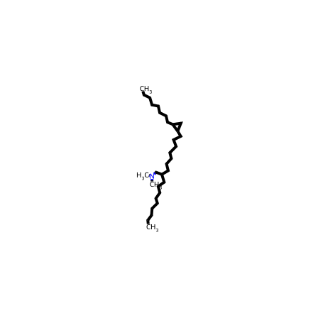 CCCCCCCCCC(CCCCCCCC1CC1CCCCCCCC)CN(C)C